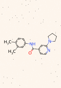 Cc1ccc(NC(=O)c2ccnc(N3CCCC3)c2)cc1C